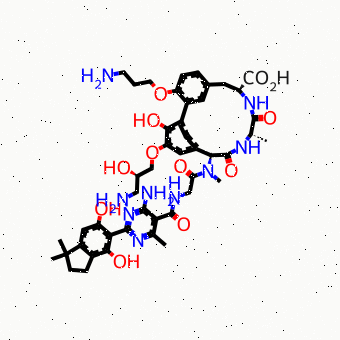 Cc1nc(-c2c(O)cc3c(c2O)CCC3(C)C)nc(N)c1C(=O)NCC(=O)N(C)[C@@H]1C(=O)N[C@@H](C)C(=O)N[C@H](C(=O)O)Cc2ccc(OCCCN)c(c2)-c2cc1cc(OC[C@H](O)CN)c2O